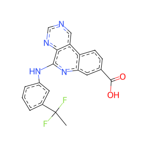 CC(F)(F)c1cccc(Nc2nc3cc(C(=O)O)ccc3c3cncnc23)c1